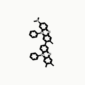 Cc1cc2nc3cc(-c4cc5c(cc4C)nc4ccc(N(C)C)cc4[n+]5-c4ccccc4)ccc3[n+](-c3ccccc3)c2cc1C